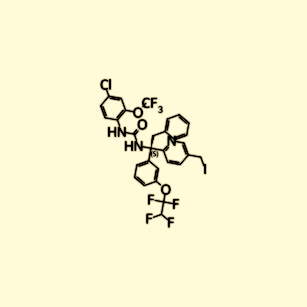 O=C(Nc1ccc(Cl)cc1OC(F)(F)F)N[C@@](Cc1ccccc1)(c1cccc(OC(F)(F)C(F)F)c1)c1ccc(CI)cn1